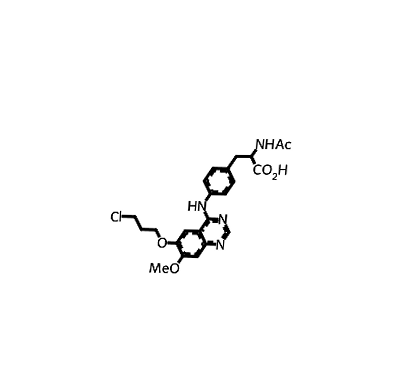 COc1cc2ncnc(Nc3ccc(CC(NC(C)=O)C(=O)O)cc3)c2cc1OCCCCl